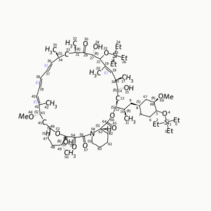 CC[Si](CC)(CC)OC1CC[C@@H](C[C@@H](C)[C@@H]2C[C@@H](O)[C@H](C)/C=C(\C)C(O[Si](CC)(CC)CC)[C@@H](O)C(=O)[C@H](C)C[C@H](C)/C=C/C=C/C=C(\C)[C@@H](OC)C[C@@H]3CC[C@@H](C)[C@@](O)(O3)C(=O)C(=O)N3CCCC[C@H]3C(=O)O2)C[C@H]1OC